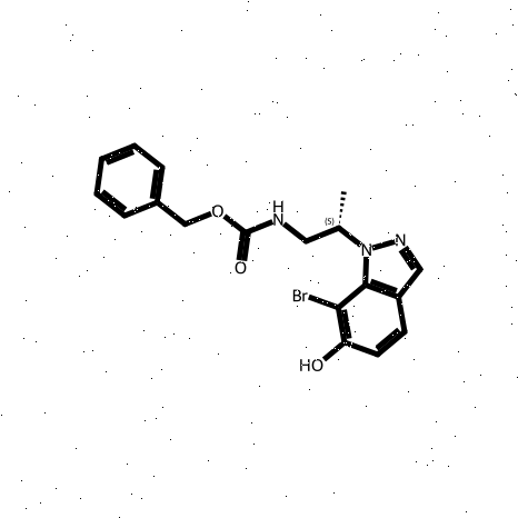 C[C@@H](CNC(=O)OCc1ccccc1)n1ncc2ccc(O)c(Br)c21